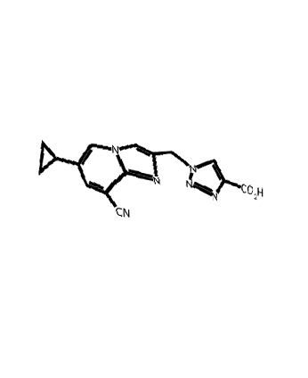 N#Cc1cc(C2CC2)cn2cc(Cn3cc(C(=O)O)nn3)nc12